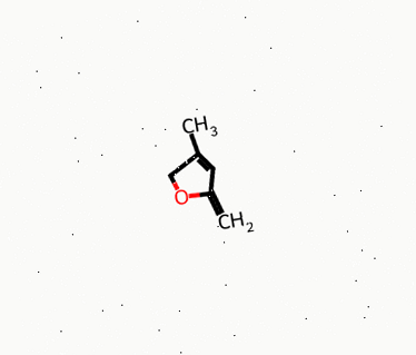 C=C1C=C(C)CO1